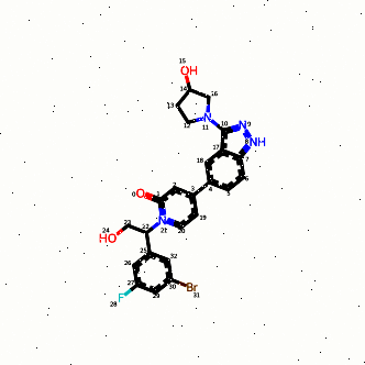 O=c1cc(-c2ccc3[nH]nc(N4CCC(O)C4)c3c2)ccn1C(CO)c1cc(F)cc(Br)c1